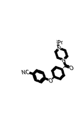 CC(C)N1CCN(C(=O)[C@H]2CC[C@H](Oc3ccc(C#N)cc3)CC2)CC1